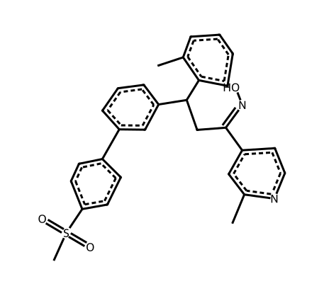 Cc1cc(/C(CC(c2cccc(-c3ccc(S(C)(=O)=O)cc3)c2)c2ccccc2C)=N/O)ccn1